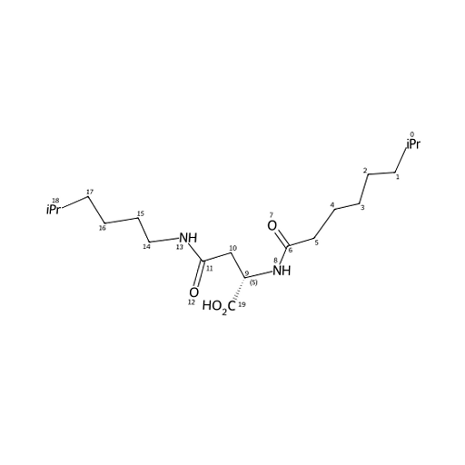 CC(C)CCCCCC(=O)N[C@@H](CC(=O)NCCCCC(C)C)C(=O)O